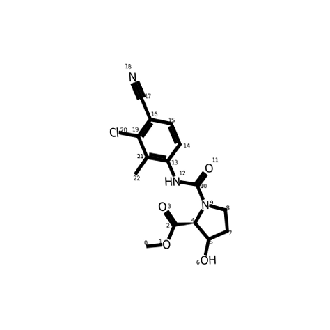 COC(=O)[C@@H]1C(O)CCN1C(=O)Nc1ccc(C#N)c(Cl)c1C